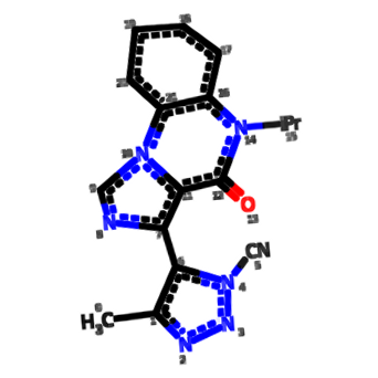 Cc1nnn(C#N)c1-c1ncn2c1c(=O)n(C(C)C)c1ccccc12